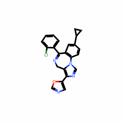 Clc1ccccc1C1=NCc2c(-c3cnco3)ncn2-c2ccc(C3CC3)cc21